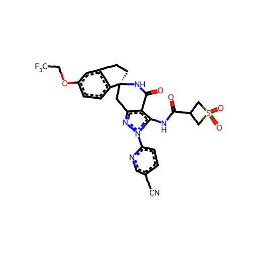 N#Cc1ccc(-n2nc3c(c2NC(=O)C2CS(=O)(=O)C2)C(=O)N[C@@]2(CCc4cc(OCC(F)(F)F)ccc42)C3)nc1